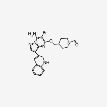 Nc1c(Br)c(OCC2CCN(C=O)CC2)nc2c(C3=Cc4ccccc4NC3)cnn12